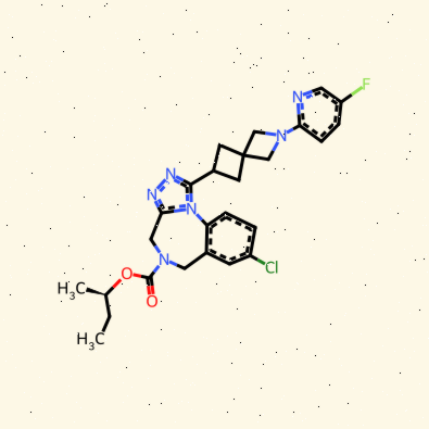 CC[C@@H](C)OC(=O)N1Cc2cc(Cl)ccc2-n2c(nnc2C2CC3(C2)CN(c2ccc(F)cn2)C3)C1